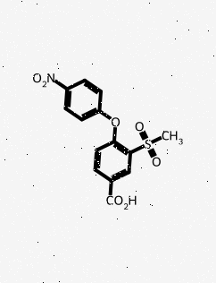 CS(=O)(=O)c1cc(C(=O)O)ccc1Oc1ccc([N+](=O)[O-])cc1